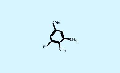 CCc1cc(OC)cc(C)c1C